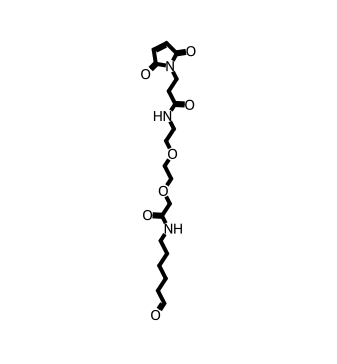 O=CCCCCCNC(=O)COCCOCCNC(=O)CCN1C(=O)C=CC1=O